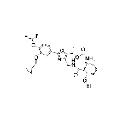 CCOc1ccccc1C(=O)NCc1nc(-c2ccc(OC(F)F)c(OCC3CC3)c2)oc1[C@H](C)OC(N)=O